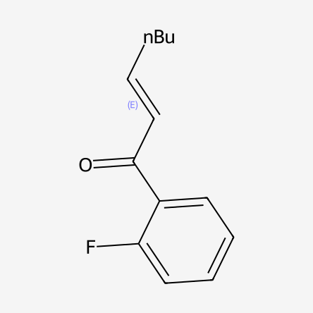 CCCC/C=C/C(=O)c1ccccc1F